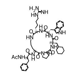 CC(=O)N[C@@H](Cc1ccccc1)C(=O)N[C@H]1CCCNC(=O)[C@H](CCCCNC(=N)N)NC(=O)[C@H](Cc2c[nH]c3ccccc23)NC(=O)[C@@H](CC2CCCCC2)NC(=O)[C@@H]2CCCN2C1=O